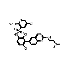 COc1ncc(Cl)cc1S(=O)(=O)Nc1ccc(Cl)c(-c2ccc3nc(NCCN(C)C)ncc3c2)c1Cl